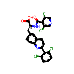 O=C(N[C@@H](Cc1ccc2nc(-c3c(Cl)cccc3Cl)ccc2c1)C(=O)O)c1c(Cl)cncc1Cl